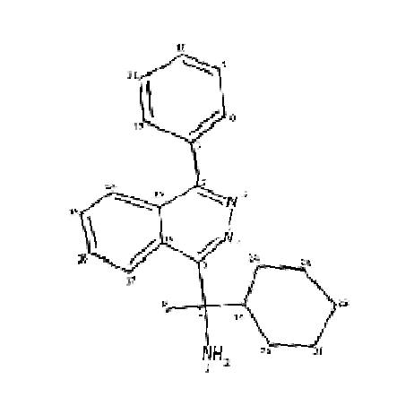 CC(N)(c1nnc(-c2ccccc2)c2ccccc12)C1CCCCC1